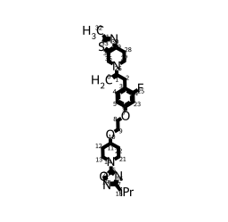 C=C(Cc1ccc(OCCOC2CCN(c3nc(C(C)C)no3)CC2)cc1F)N1CCc2nc(C)sc2C1